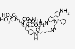 C[N+](C)(CCCCCC(=O)Nc1ccc(CC(CN(CCN(CC(=O)O)CC(=O)O)CC(=O)O)N(CC(=O)O)CC(=O)O)cc1)CCC[n+]1c(-c2ccccc2)c2cc(N)ccc2c2ccc(N)cc21